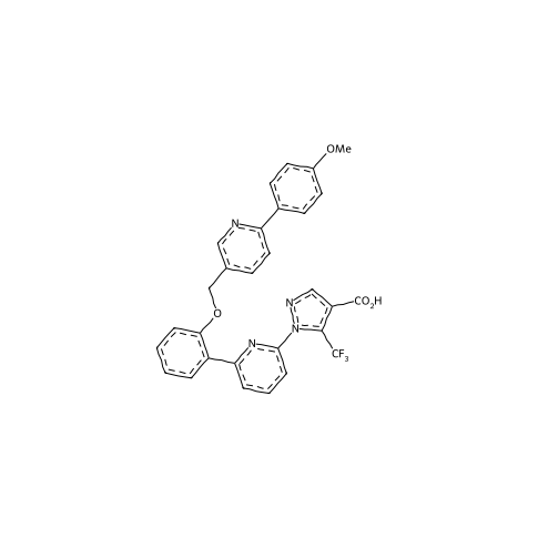 COc1ccc(-c2ccc(COc3ccccc3-c3cccc(-n4ncc(C(=O)O)c4C(F)(F)F)n3)cn2)cc1